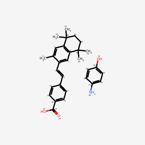 Cc1cc2c(cc1C=Cc1ccc(C(=O)O)cc1)C(C)(C)CCC2(C)C.Nc1ccc(O)cc1